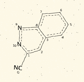 N#Cc1cc2ccccc2nn1